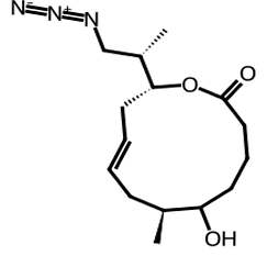 C[C@H]1C/C=C/C[C@H]([C@@H](C)CN=[N+]=[N-])OC(=O)CCCC1O